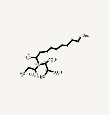 CCCCCCCCCCCCCCCCCCC(C)N(C(CO)C(=O)O)C(C(=O)O)C(O)C(=O)O